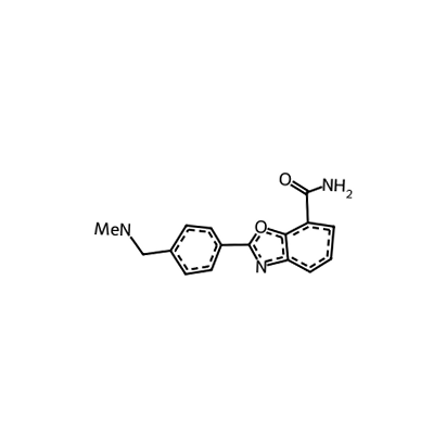 CNCc1ccc(-c2nc3cccc(C(N)=O)c3o2)cc1